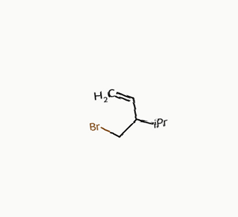 C=CC(CBr)C(C)C